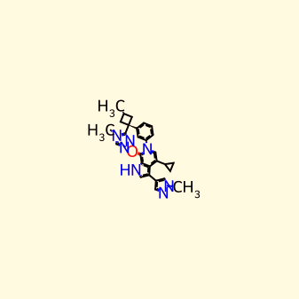 Cn1cc(-c2c[nH]c3c(=O)n(-c4cccc([C@]5(c6nncn6C)C[C@@H](C)C5)c4)cc(C4CC4)c23)cn1